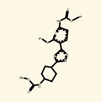 CC(C)OC(=O)Nc1ccc(-c2nnc(C3CCC(NC(=O)OC(C)(C)C)CC3)s2)c(SC(C)C)c1